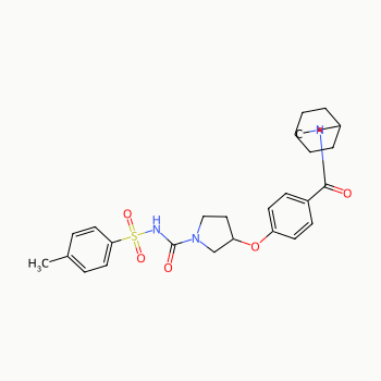 Cc1ccc(S(=O)(=O)NC(=O)N2CCC(Oc3ccc(C(=O)N4CC5CCC(CC5)C4)cc3)C2)cc1